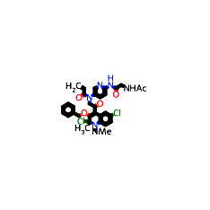 C=CC(=O)N(CC(=O)C1=C(OCc2ccccc2)C(C)(Cl)N(NC)c2ccc(Cl)cc21)c1ccc(NC(=O)CNC(C)=O)nc1